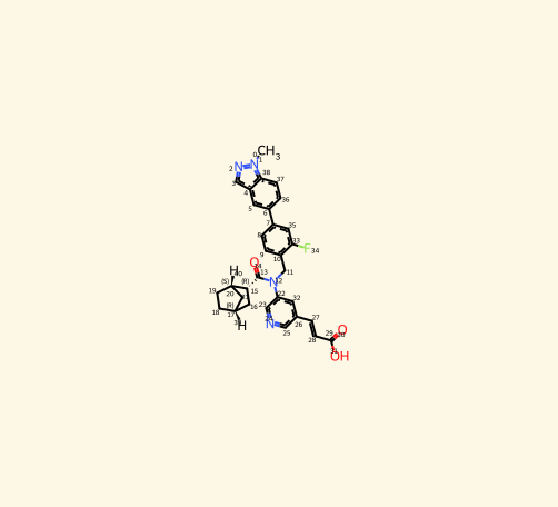 Cn1ncc2cc(-c3ccc(CN(C(=O)[C@@H]4C[C@@H]5CC[C@H]4C5)c4cncc(C=CC(=O)O)c4)c(F)c3)ccc21